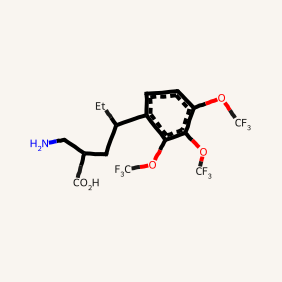 CCC(CC(CN)C(=O)O)c1ccc(OC(F)(F)F)c(OC(F)(F)F)c1OC(F)(F)F